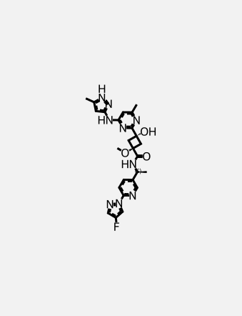 CO[C@]1(C(=O)N[C@@H](C)c2ccc(-n3cc(F)cn3)nc2)C[C@](O)(c2nc(C)cc(Nc3cc(C)[nH]n3)n2)C1